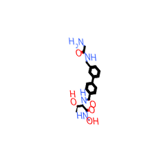 C[C@@H](O)[C@H](NC(=O)c1ccc(-c2cccc(CNC(=O)CN)c2)cc1)C(=O)NO